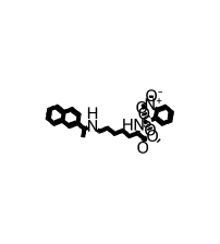 COC(=O)C(CCCCCNC(C)c1ccc2ccccc2c1)NS(=O)(=O)c1ccccc1[N+](=O)[O-]